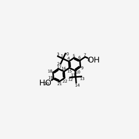 CC(C)(C)c1cc(CO)cc(C(C)(C)C)c1-c1ccc(O)cc1